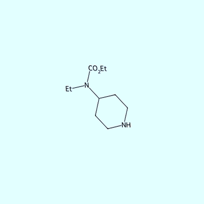 CCOC(=O)N(CC)C1CCNCC1